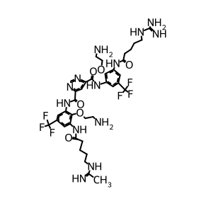 CC(=N)NCCCCC(=O)Nc1cc(C(F)(F)F)cc(NC(=O)c2cc(C(=O)Nc3cc(C(F)(F)F)cc(NC(=O)CCCCNC(=N)N)c3OCCN)ncn2)c1OCCN